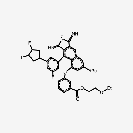 CCOCCOC(=O)c1cccc(Oc2cc(C(C)(C)C)cc3cc4c(c(-c5cc(F)cc(C6CC(F)C(F)C6)c5)c23)C(=N)NC4=N)c1